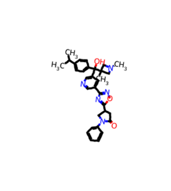 CC(C)c1ccc(C(O)(c2cncc(-c3noc(C4CC(=O)N(c5ccccc5)C4)n3)c2)C2(C)CN(C)C2)cc1